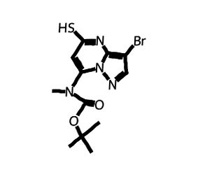 CN(C(=O)OC(C)(C)C)c1cc(S)nc2c(Br)cnn12